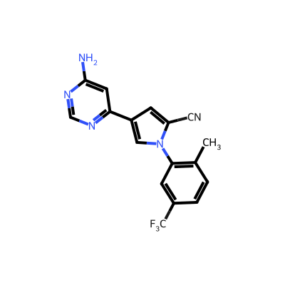 Cc1ccc(C(F)(F)F)cc1-n1cc(-c2cc(N)ncn2)cc1C#N